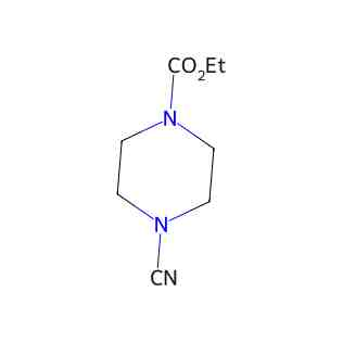 CCOC(=O)N1CCN(C#N)CC1